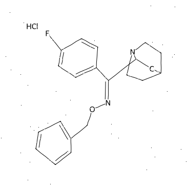 Cl.Fc1ccc(C(=NOCc2ccccc2)C2CC3CCN2CC3)cc1